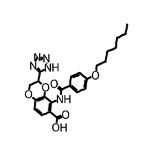 CCCCCCCOc1ccc(C(=O)Nc2c(C(=O)O)ccc3c2OC(c2nnn[nH]2)CO3)cc1